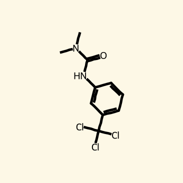 CN(C)C(=O)Nc1cccc(C(Cl)(Cl)Cl)c1